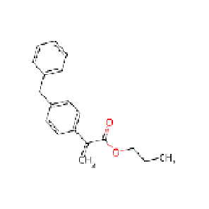 C=C(C(=O)OCCC)c1ccc(Cc2ccccc2)cc1